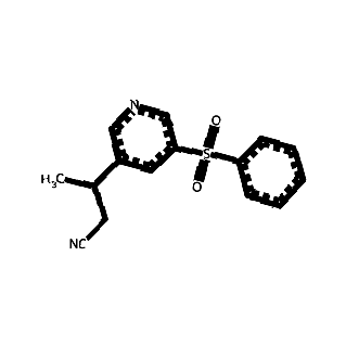 CC(CC#N)c1cncc(S(=O)(=O)c2ccccc2)c1